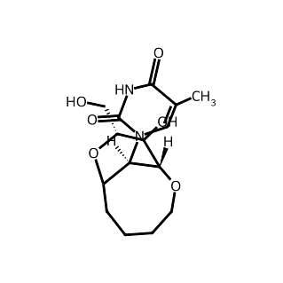 Cc1cn([C@@H]2C3CCCCO[C@H]2C(O)[C@@H](CO)O3)c(=O)[nH]c1=O